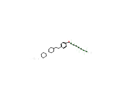 CCCCCC[C@H]1CC[C@H](C2CCC(CCc3ccc(C(=O)C(F)(F)C(F)(F)C(F)(F)C(F)(F)C(F)(F)C(F)(F)C(F)(F)C(F)(F)F)cc3)CC2)CC1